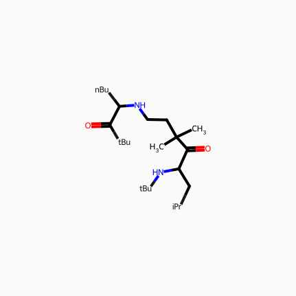 CCCCC(NCCC(C)(C)C(=O)C(CC(C)C)NC(C)(C)C)C(=O)C(C)(C)C